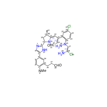 CNc1ccc(-c2cnc(C3C[C@@H](C)/C(=C/C(=C\C=O)c4cc(Cl)ccc4N(N)/C=C(\N)Cl)N3C)[nH]2)cc1CCC=O